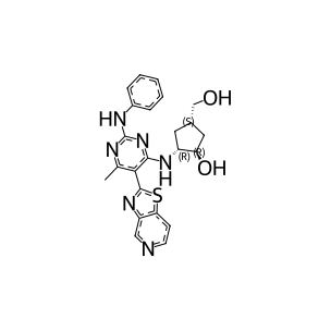 Cc1nc(Nc2ccccc2)nc(N[C@@H]2C[C@H](CO)C[C@H]2O)c1-c1nc2cnccc2s1